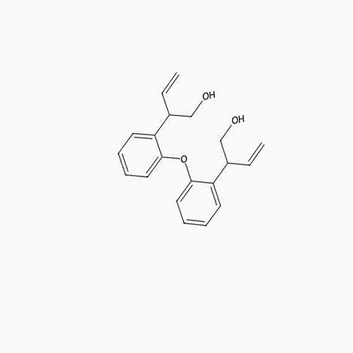 C=CC(CO)c1ccccc1Oc1ccccc1C(C=C)CO